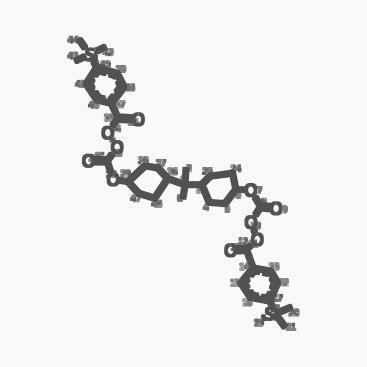 CC(C)(C1CCC(OC(=O)OOC(=O)c2ccc([Si](C)(C)C)cc2)CC1)C1CCC(OC(=O)OOC(=O)c2ccc([Si](C)(C)C)cc2)CC1